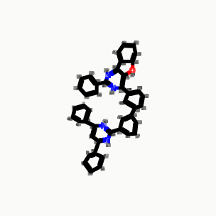 c1ccc(-c2cc(-c3ccccc3)nc(-c3cccc(-c4cccc(-c5nc(-c6ccccc6)nc6c5oc5ccccc56)c4)c3)n2)cc1